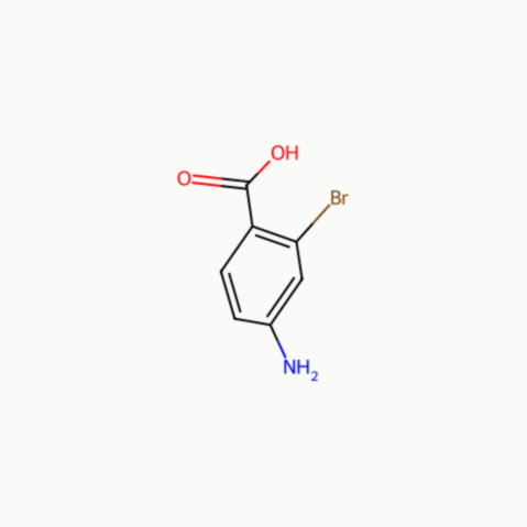 Nc1ccc(C(=O)O)c(Br)c1